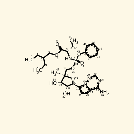 CCC(CC)COC(=O)[C@H](CC)NP(=O)(OC[C@@]1(C)O[C@@H](c2ccc3c(N)ncnn23)[C@H](O)[C@@H]1O)Oc1ccccc1